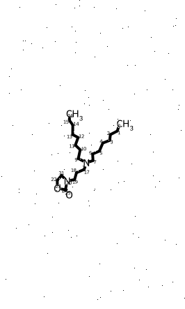 CCCCCCCCN(CCCCCCCC)CCCN1CCOC1=O